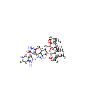 COC(Cc1cc2[nH]cc(C3=C(c4c[nH]c5ccccc45)C(=O)NC3=O)c2cc1CC(OC)C(OC)N(C)C)C(OC)N(C)C